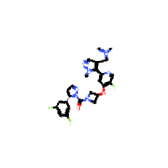 CN(C)Cc1cnn(C)c1-c1cc(OC2CN(C(=O)N3N=CC[C@H]3c3cc(F)cc(F)c3)C2)c(F)cn1